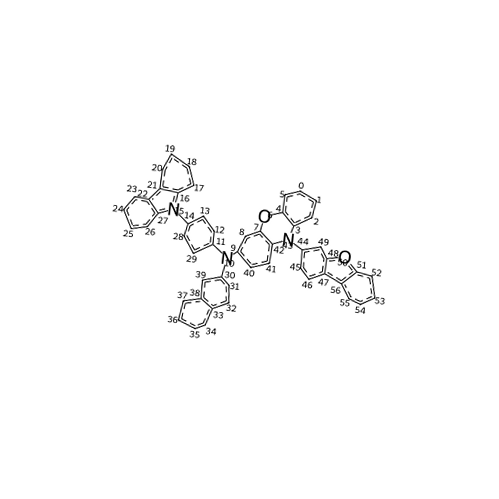 c1ccc2c(c1)Oc1cc(N(c3ccc(-n4c5ccccc5c5ccccc54)cc3)c3ccc4ccccc4c3)ccc1N2c1ccc2c(c1)oc1ccccc12